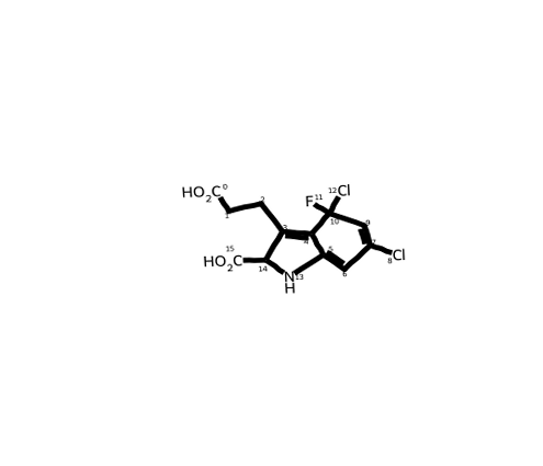 O=C(O)CCC1=C2C(=CC(Cl)=CC2(F)Cl)NC1C(=O)O